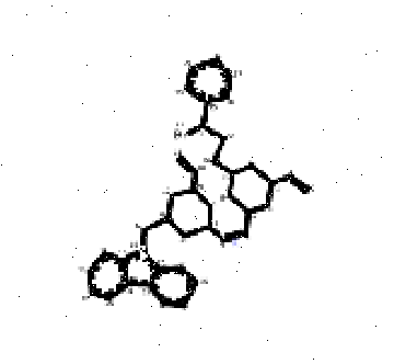 C=CC1CC(/C=C\C2CC(C=C)CC(Cn3c4ccccc4c4ccccc43)C2)CC(CCC(Br)c2ccccc2)C1